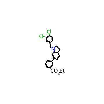 CCOC(=O)c1cccc(-c2ccc3c(c2)N(Cc2ccc(Cl)c(Cl)c2)CC3)c1